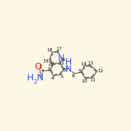 NC(=O)c1ccc(NCc2ccccc2)c2ncccc12